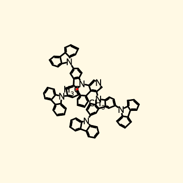 Cc1cccc(C)c1-c1c(-n2c3ccc(-n4c5ccccc5c5ccccc54)cc3c3cc(-n4c5ccccc5c5ccccc54)ccc32)cncc1-n1c2ccc(-n3c4ccccc4c4ccccc43)cc2c2cc(-n3c4ccccc4c4ccccc43)ccc21